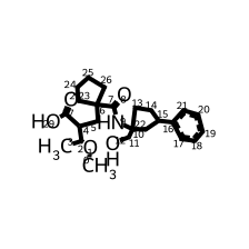 COC(C)C(CC1(C(=O)NC2(CO)CCC(c3ccccc3)C2)CCCC1)C(=O)O